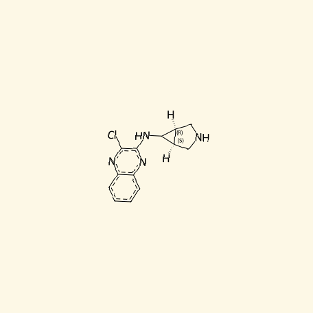 Clc1nc2ccccc2nc1NC1[C@H]2CNC[C@@H]12